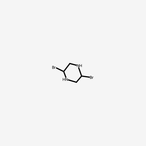 BrC1CNC(Br)CN1